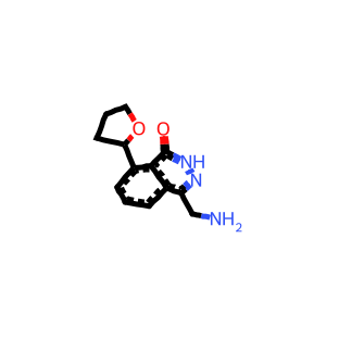 NCc1n[nH]c(=O)c2c(C3CCCO3)cccc12